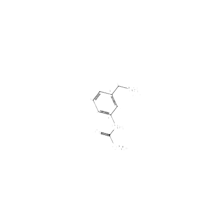 COC(=O)Nc1cccc(CN)c1